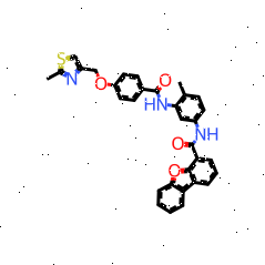 Cc1nc(COc2ccc(C(=O)Nc3cc(NC(=O)c4cccc5c4oc4ccccc45)ccc3C)cc2)cs1